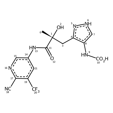 C[C@@](O)(Cc1n[nH]cc1NC(=O)O)C(=O)Nc1cnc(C#N)c(C(F)(F)F)c1